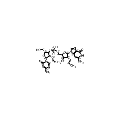 CCO[C@H]1C(OP(=O)(O)OC[C@H]2O[C@@H](n3cnc4c(=O)[nH]c(N)nc43)[C@@H](OCC)C2O)[C@@H](CO)O[C@H]1n1cnc(N)nc1=O